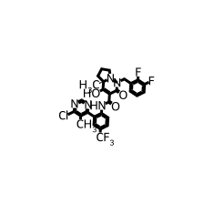 Cc1c(Cl)ncnc1-c1cc(C(F)(F)F)ccc1NC(=O)C1=C(O)[C@@]2(C)CCCN2N(Cc2cccc(F)c2F)C1=O